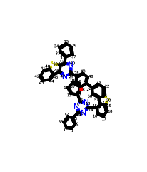 c1ccc(-c2nc(-c3ccccc3)nc(-c3cccc4sc5ccc(-c6ccc(-c7nc(-c8ccccc8)c8sc9ccccc9c8n7)cc6)cc5c34)n2)cc1